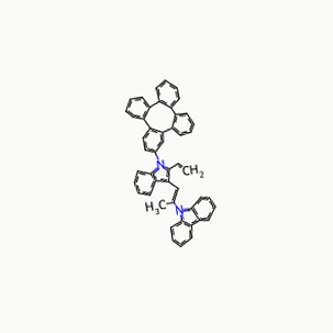 C=Cc1c(/C=C(\C)n2c3ccccc3c3ccccc32)c2ccccc2n1-c1ccc2c(c1)-c1ccccc1-c1ccccc1-c1ccccc1-2